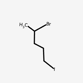 CC(Br)CCCI